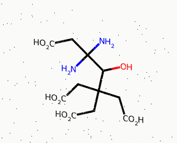 NC(N)(CC(=O)O)C(O)C(CC(=O)O)(CC(=O)O)CC(=O)O